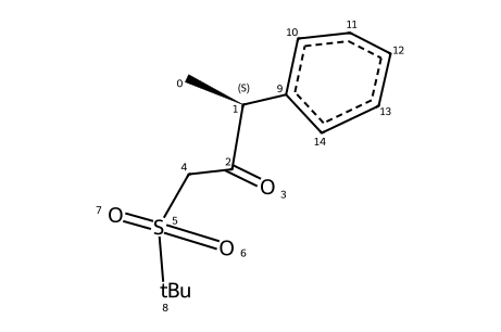 C[C@H](C(=O)CS(=O)(=O)C(C)(C)C)c1ccccc1